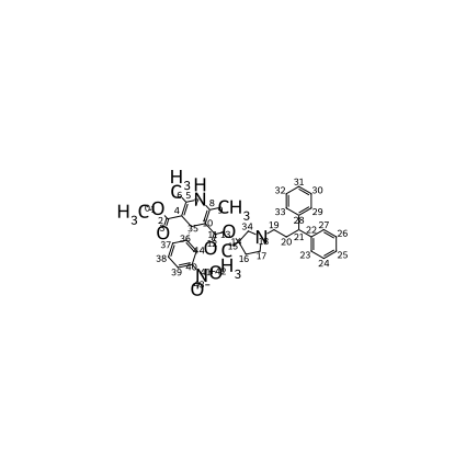 COC(=O)C1=C(C)NC(C)=C(C(=O)O[C@@]2(C)CCN(CCC(c3ccccc3)c3ccccc3)C2)[C@@H]1c1cccc([N+](=O)[O-])c1